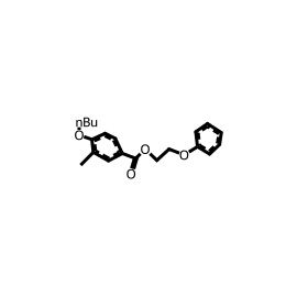 CCCCOc1ccc(C(=O)OCCOc2ccccc2)cc1C